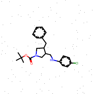 CC(C)(C)OC(=O)N1CC(CNc2ccc(Cl)cc2)C(Cc2ccccc2)C1